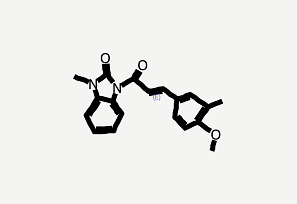 COc1ccc(/C=C/C(=O)n2c(=O)n(C)c3ccccc32)cc1C